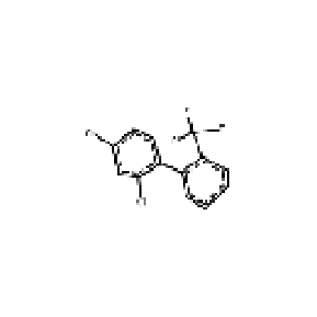 FC(F)(F)c1[c]cccc1-c1ccc(Cl)cc1Cl